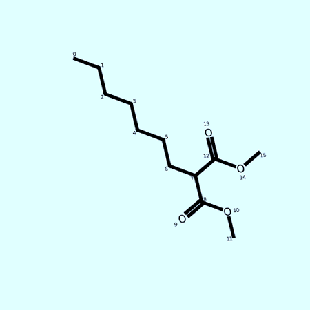 CCCCCCCC(C(=O)OC)C(=O)OC